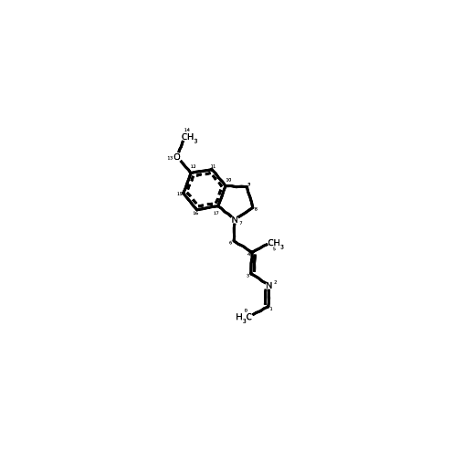 C/C=N\C=C(/C)CN1CCc2cc(OC)ccc21